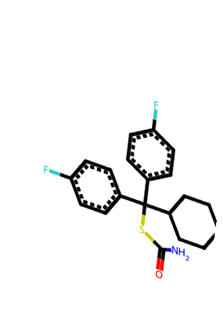 NC(=O)SC(c1ccc(F)cc1)(c1ccc(F)cc1)C1CCCCC1